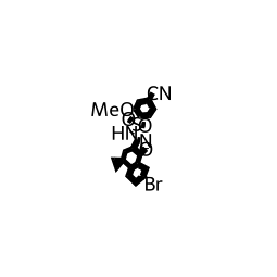 COc1cc(C#N)ccc1S(=O)(=O)Nc1noc2c1CC1(CC1)c1ccc(Br)cc1-2